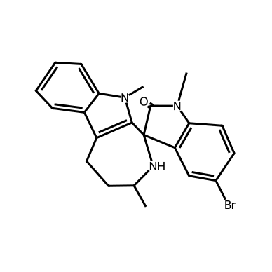 CC1CCc2c(n(C)c3ccccc23)C2(N1)C(=O)N(C)c1ccc(Br)cc12